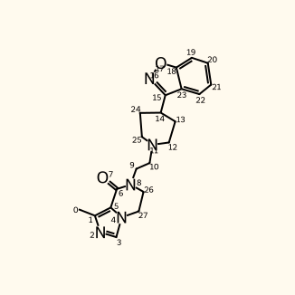 Cc1ncn2c1C(=O)N(CCN1CCC(c3noc4ccccc34)CC1)CC2